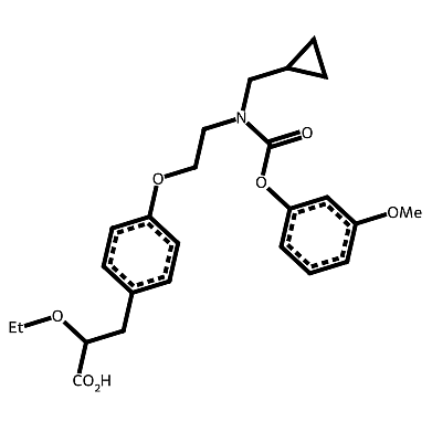 CCOC(Cc1ccc(OCCN(CC2CC2)C(=O)Oc2cccc(OC)c2)cc1)C(=O)O